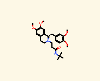 COc1ccc(C[C@@H]2c3cc(OC)c(OC)cc3CCN2CCC(=O)NC(C)(C)C)cc1OC